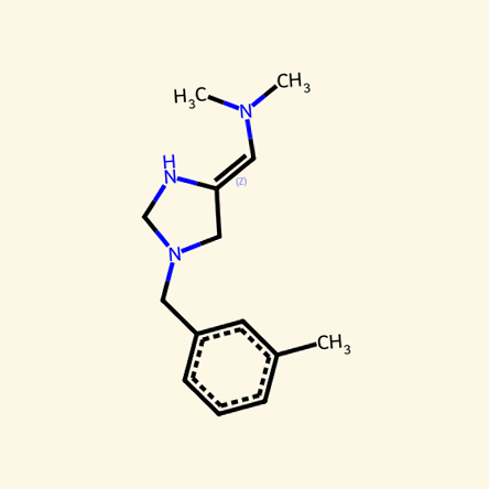 Cc1cccc(CN2CN/C(=C\N(C)C)C2)c1